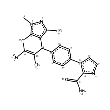 CCCc1nn(C)c2c1C(c1ccc(-n3ccnc3C(N)=O)cc1)C(C#N)=C(N)O2